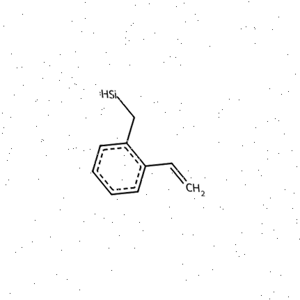 C=Cc1ccccc1C[SiH]